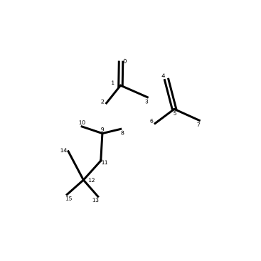 C=C(C)C.C=C(C)C.CC(C)CC(C)(C)C